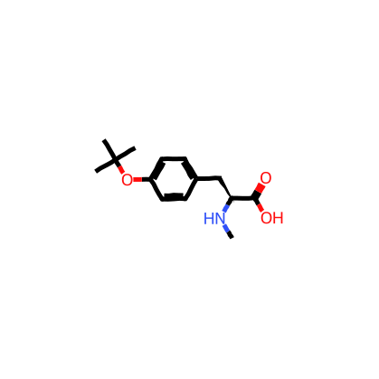 CN[C@@H](Cc1ccc(OC(C)(C)C)cc1)C(=O)O